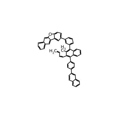 C=C/C=C\c1c(C)c(-c2cccc(-c3ccc4oc5cc6ccccc6cc5c4c3)c2)c2ccccc2c1-c1ccc(-c2ccc3ccccc3c2)cc1